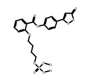 CCOP(=O)(OCC)OCCCCOc1ccccc1C(=O)Oc1ccc(-c2cc(=S)ss2)cc1